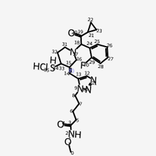 CONC(=O)CCCCn1nncc1/C=C1\CN(C(C(=O)C2CC2)c2ccccc2F)CCC1S.Cl